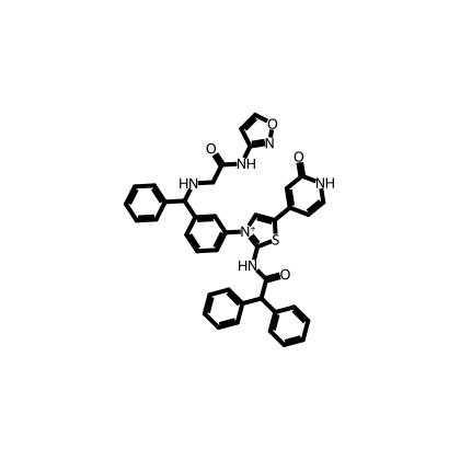 O=C(CNC(c1ccccc1)c1cccc(-[n+]2cc(-c3cc[nH]c(=O)c3)sc2NC(=O)C(c2ccccc2)c2ccccc2)c1)Nc1ccon1